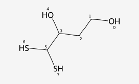 OCCC(O)C(S)S